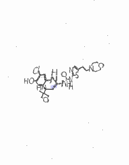 CC1(C(=N)/C=C(/NC(=O)Nc2ncc(CCN3CCOCC3)s2)Nc2ccc(O)c(Cl)c2)COC1